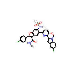 CNC(=O)c1c(-c2ccc(F)cc2)oc2cc(N(C)S(C)(=O)=O)c(-c3ccc4c(n3)-c3cc5cc(F)ccc5n3CO4)cc12